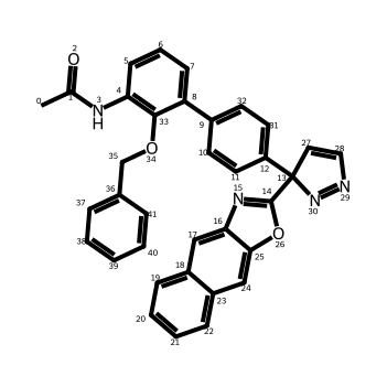 CC(=O)Nc1cccc(-c2ccc(C3(c4nc5cc6ccccc6cc5o4)C=CN=N3)cc2)c1OCc1ccccc1